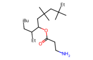 CCC(C)CC(CC)C(CC(C)(C)CC(C)(C)CC)OC(=O)CCN